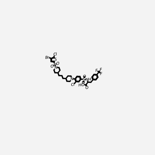 O=C(O)C(Cc1ccc(C(F)(F)F)cc1)NS(=O)(=O)c1ccc(N2CCC(CCCC3CCN(S(=O)(=O)c4cc(Br)c(Cl)s4)CC3)CC2)c(Cl)c1